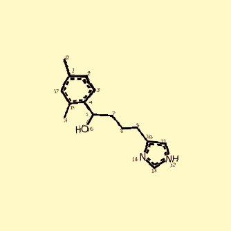 Cc1ccc(C(O)CCCc2c[nH]cn2)c(C)c1